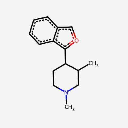 CC1CN(C)CCC1c1occ2ccccc12